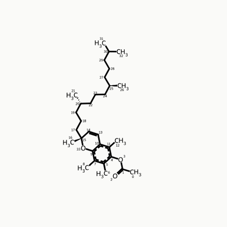 CC(=O)Oc1c(C)c(C)c2c(c1C)C=C[C@@](C)(CCC[C@H](C)CCC[C@H](C)CCCC(C)C)O2